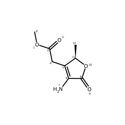 COC(=O)CC1=C(N)C(=O)O[C@@H]1C